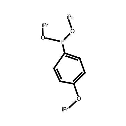 CC(C)Oc1ccc(P(OC(C)C)OC(C)C)cc1